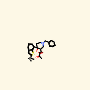 CCC1CN(Cc2ccccc2)CCC1(OC(=O)C(C)=O)c1cccc2cc([Si](C)(C)C)sc12